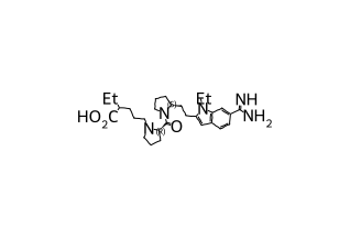 CCC(CCCN1CCC[C@@H]1C(=O)N1CCC[C@H]1CCc1cc2ccc(C(=N)N)cc2n1CC)C(=O)O